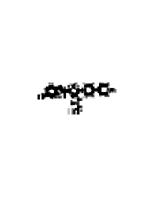 CN(C)C[C@@H](NC(=O)c1cc2ccc(Cl)cc2s1)C(=O)N1CCC(C2CCN(C)CC2)CC1.Cl